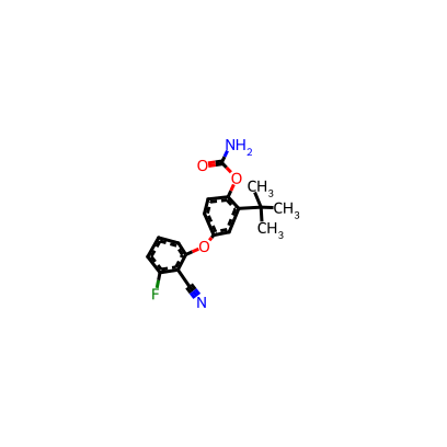 CC(C)(C)c1cc(Oc2cccc(F)c2C#N)ccc1OC(N)=O